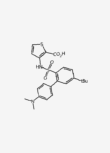 CN(C)c1ccc(-c2cc(C(C)(C)C)ccc2S(=O)(=O)Nc2ccsc2C(=O)O)cc1